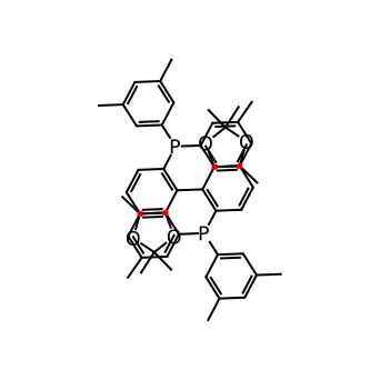 Cc1cc(C)cc(P(c2cc(C)cc(C)c2)c2ccc3c(c2-c2c(P(c4cc(C)cc(C)c4)c4cc(C)cc(C)c4)ccc4c2OC(C)(C)O4)OC(C)(C)O3)c1